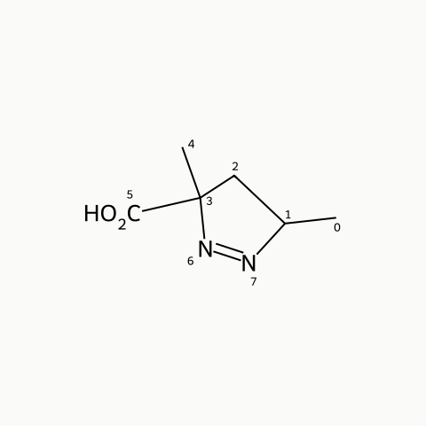 CC1CC(C)(C(=O)O)N=N1